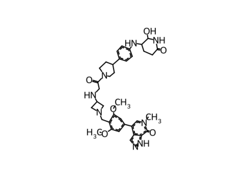 COc1cc(-c2cn(C)c(=O)c3[nH]ncc23)cc(OC)c1CN1CC(NCC(=O)N2CCC(c3ccc(NC4CCC(=O)NC4O)cc3)CC2)C1